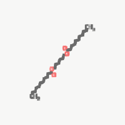 C=CCCCCCCCCC(=O)OCCCCCCOC(=O)CCCCCCCCC=C